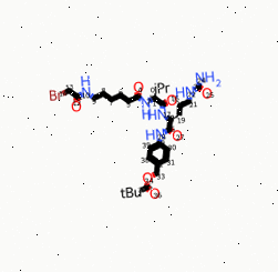 CC(C)[C@@H](NC(=O)CCCCCNC(=O)CBr)C(=O)N[C@H](CCCNC(N)=O)C(=O)Nc1ccc(COC(=O)C(C)(C)C)cc1